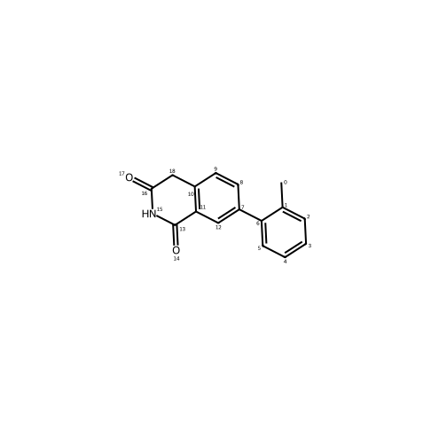 Cc1ccccc1-c1ccc2c(c1)C(=O)NC(=O)C2